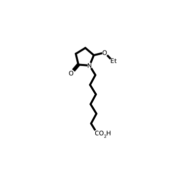 CCOC1CCC(=O)N1CCCCCCC(=O)O